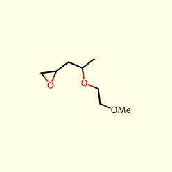 COCCOC(C)CC1CO1